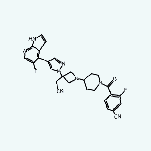 N#CCC1(n2cc(-c3c(F)cnc4[nH]ccc34)cn2)CN(C2CCN(C(=O)c3ccc(C#N)cc3F)CC2)C1